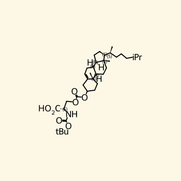 CC(C)CCC[C@H](C)[C@@H]1CC[C@@H]2[C@H]3CC=C4CC(OC(=O)OC[C@H](NC(=O)OC(C)(C)C)C(=O)O)CC[C@@]4(C)[C@@H]3CC[C@]21C